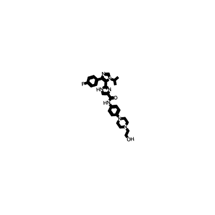 CC(C)n1cnc(-c2ccc(F)cc2)c1-c1nc(C(=O)Nc2ccc(N3CCN(CCO)CC3)cc2)c[nH]1